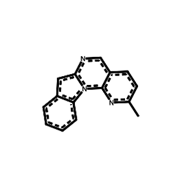 Cc1ccc2cnc3cc4ccccc4n3c2n1